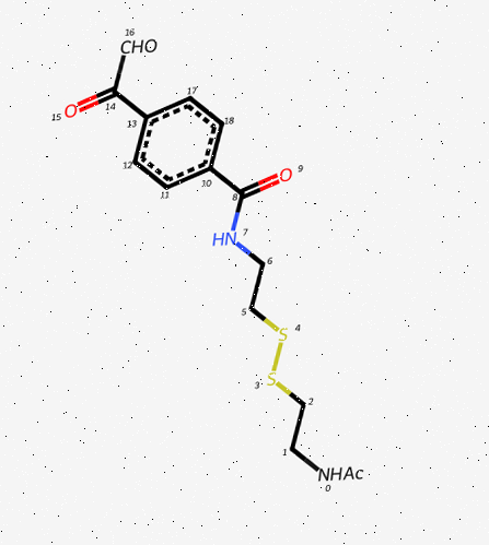 CC(=O)NCCSSCCNC(=O)c1ccc(C(=O)C=O)cc1